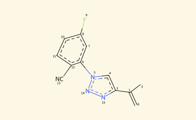 C=C(C)c1cn(-c2cc(F)ccc2C#N)nn1